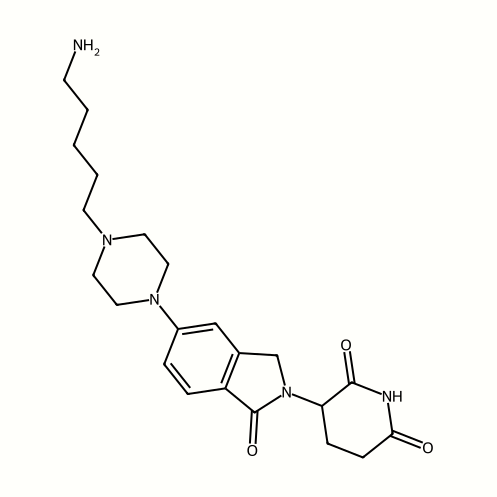 NCCCCCN1CCN(c2ccc3c(c2)CN(C2CCC(=O)NC2=O)C3=O)CC1